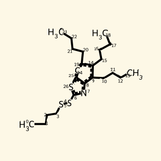 CCCCSSc1nc2c(CCCC)c(CCCC)c(CCCC)cc2s1